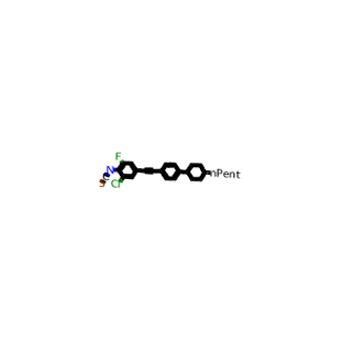 CCCCCC1CCC(c2ccc(C#Cc3cc(F)c(N=C=S)c(Cl)c3)cc2)CC1